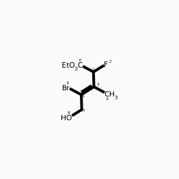 CCOC(=O)C(F)C(C)=C(Br)CO